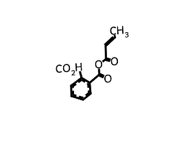 CC=CC(=O)OC(=O)c1ccccc1C(=O)O